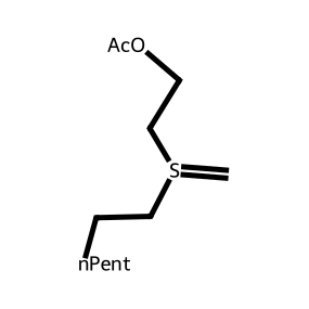 C=S(CCCCCCC)CCOC(C)=O